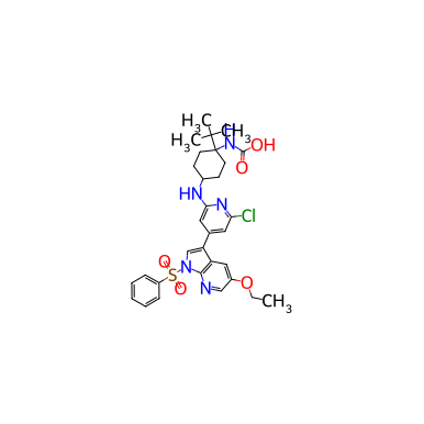 CCOc1cnc2c(c1)c(-c1cc(Cl)nc(NC3CCC(NC(=O)O)(C(C)(C)C)CC3)c1)cn2S(=O)(=O)c1ccccc1